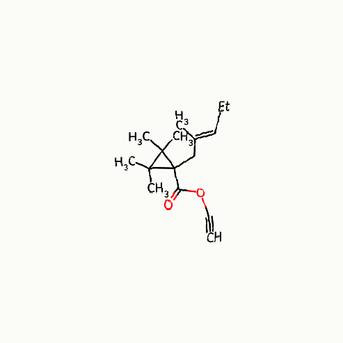 C#COC(=O)C1(CC(C)=CCC)C(C)(C)C1(C)C